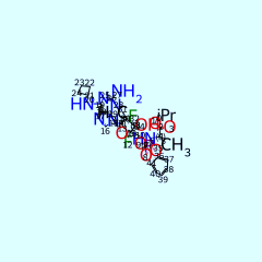 CC(C)OC(=O)[C@H](C)N[P@@](=O)(OC[C@@]1(F)O[C@@H](n2cnc3c(NC4CCC4)nc(N)nc32)[C@](C)(F)[C@@H]1O)Oc1ccccc1